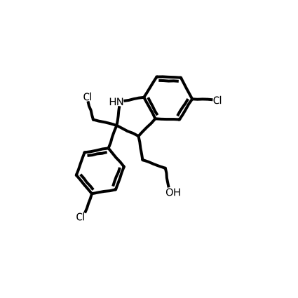 OCCC1c2cc(Cl)ccc2NC1(CCl)c1ccc(Cl)cc1